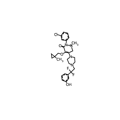 CN1CC(N2CCN(CC(F)(F)c3cccc(O)c3)CC2)=C(OCC2(C)CC2)C(=O)N1c1cccc(Cl)c1